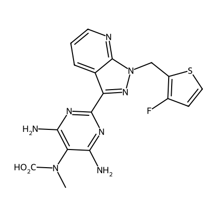 CN(C(=O)O)c1c(N)nc(-c2nn(Cc3sccc3F)c3ncccc23)nc1N